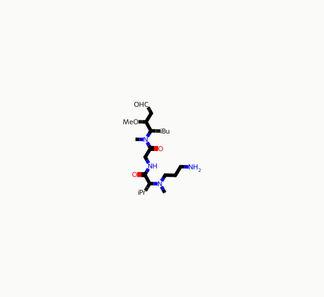 CCC(C)C(C(CC=O)OC)N(C)C(=O)CNC(=O)C(C(C)C)N(C)CCCN